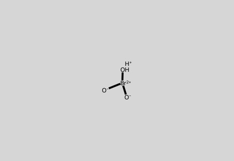 [H+].[O-][Br+2]([O-])O